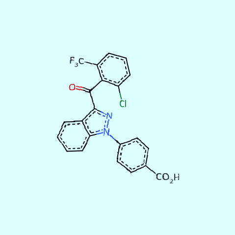 O=C(O)c1ccc(-n2nc(C(=O)c3c(Cl)cccc3C(F)(F)F)c3ccccc32)cc1